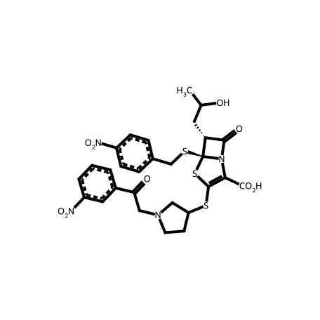 CC(O)C[C@@H]1C(=O)N2C(C(=O)O)=C(SC3CCN(CC(=O)c4cccc([N+](=O)[O-])c4)C3)S[C@]12SCc1ccc([N+](=O)[O-])cc1